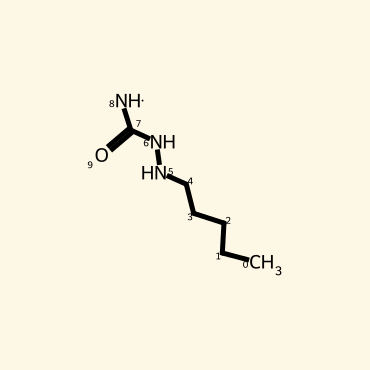 CCCCCNNC([NH])=O